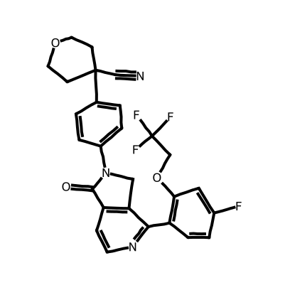 N#CC1(c2ccc(N3Cc4c(ccnc4-c4ccc(F)cc4OCC(F)(F)F)C3=O)cc2)CCOCC1